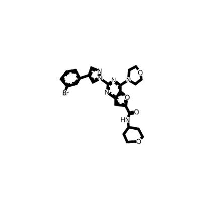 O=C(NC1CCOCC1)c1cc2nc(-n3cc(-c4cccc(Br)c4)cn3)nc(N3CCOCC3)c2o1